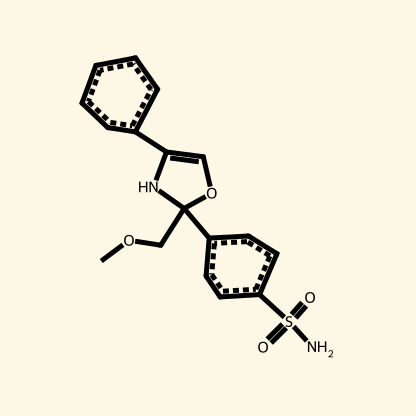 COCC1(c2ccc(S(N)(=O)=O)cc2)NC(c2ccccc2)=CO1